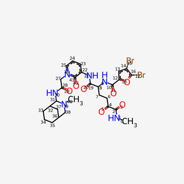 CNC(=O)C(=O)CCC(NC(=O)c1cc(Br)c(Br)o1)C(=O)Nc1cccn(CC(=O)NC2C3CCCC(C3)CN2C)c1=O